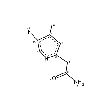 Cc1cc(CC(N)=O)ncc1F